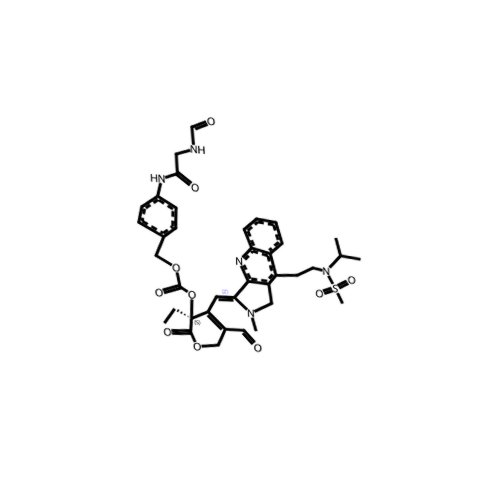 CC[C@@]1(OC(=O)OCc2ccc(NC(=O)CNC=O)cc2)C(=O)OCC(C=O)=C1/C=C1/c2nc3ccccc3c(CCN(C(C)C)S(C)(=O)=O)c2CN1C